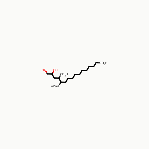 CCCCCC(CCCCCCCCCCC(=O)O)C(CC(O)CO)C(=O)O